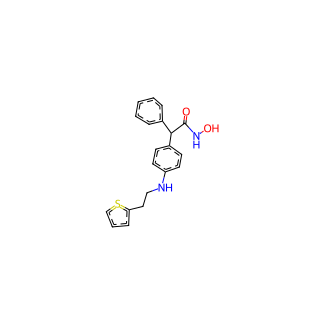 O=C(NO)C(c1ccccc1)c1ccc(NCCc2cccs2)cc1